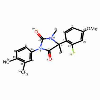 COc1ccc(C2(C)C(=O)N(c3ccc(C#N)c(C(F)(F)F)c3)C(=O)N2C)c(F)c1